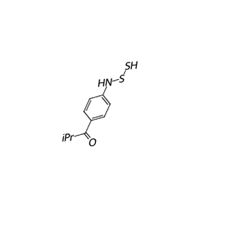 CC(C)C(=O)c1ccc(NSS)cc1